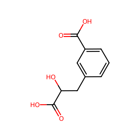 O=C(O)c1cccc(CC(O)C(=O)O)c1